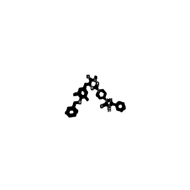 COC(=O)C(Cc1cc(C)c(OCc2ccccc2)c(C)c1)OC(=O)N1CCC(n2nc(-c3ccccc3)[nH]c2=O)CC1